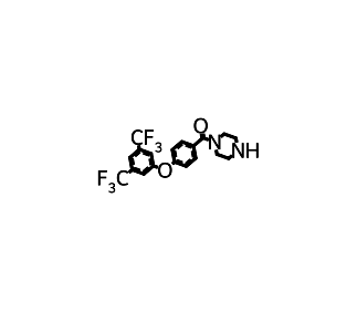 O=C(c1ccc(Oc2cc(C(F)(F)F)cc(C(F)(F)F)c2)cc1)N1CCNCC1